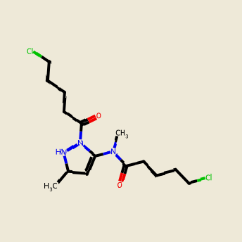 CC1C=C(N(C)C(=O)CCCCCl)N(C(=O)CCCCCl)N1